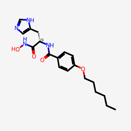 CCCCCCOc1ccc(C(=O)N[C@@H](Cc2cnc[nH]2)C(=O)NO)cc1